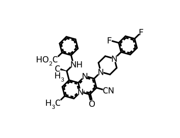 Cc1cc([C@@H](C)Nc2ccccc2C(=O)O)c2nc(N3CCN(c4ccc(F)cc4F)CC3)c(C#N)c(=O)n2c1